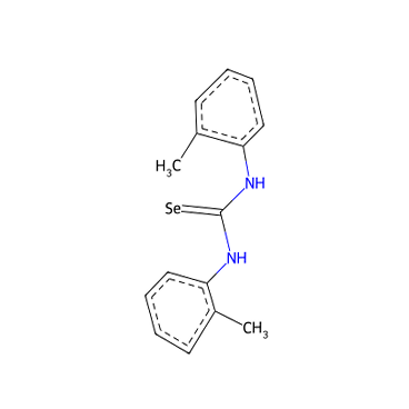 Cc1ccccc1NC(=[Se])Nc1ccccc1C